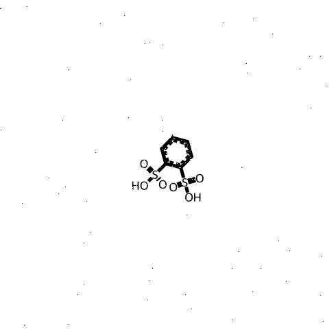 O=S(=O)(O)c1c[c]ccc1S(=O)(=O)O